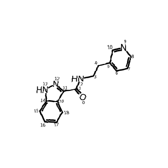 O=C(NCCc1cccnc1)c1n[nH]c2ccccc12